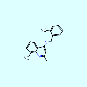 Cc1cc(NCc2ccccc2C#N)c2cccc(C#N)c2n1